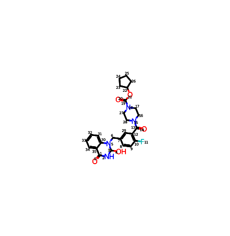 O=C1NC(O)N(Cc2ccc(F)c(C(=O)N3CCN(C(=O)OC4CCCC4)CC3)c2)c2ccccc21